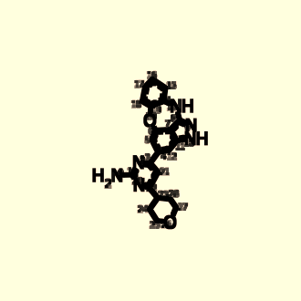 Nc1nc(-c2cc3c4c(n[nH]c4c2)Nc2ccccc2O3)cc(C2CCOCC2)n1